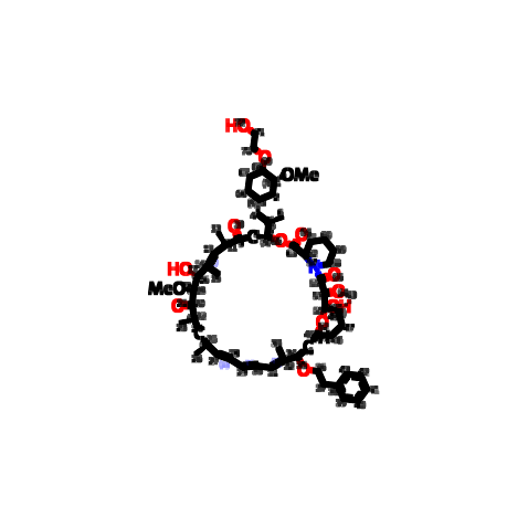 CO[C@@H]1C[C@H](C[C@@H](C)[C@@H]2CC(=O)[C@H](C)/C=C(\C)[C@@H](O)[C@@H](OC)C(=O)[C@H](C)C[C@H](C)/C=C/C=C/C=C(\C)C(OCCc3ccccc3)C[C@@H]3CC[C@@H](C)[C@@](O)(O3)C(=O)C(=O)N3CCCCC3C(=O)O2)CC[C@H]1OCCO